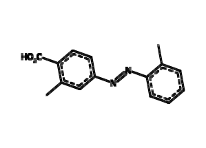 Cc1ccccc1/N=N/c1ccc(C(=O)O)c(C)c1